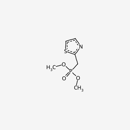 COP(=O)(Cc1nccs1)OC